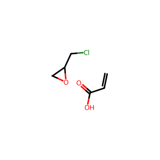 C=CC(=O)O.ClCC1CO1